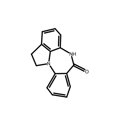 O=C1Nc2cccc3c2N(CC3)c2ccccc21